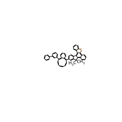 CC1(C)c2cc(-c3ccccccc(-c4cccc(-c5ccccc5)c4)c4ccccc34)ccc2-c2c1c1ccccc1c1sc3ccccc3c21